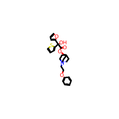 O=C(OC1C[N+]2(CCOc3ccccc3)CCC1CC2)[C@](O)(c1ccco1)c1cccs1